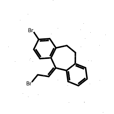 BrCC=C1c2ccccc2CCc2cc(Br)ccc21